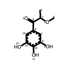 COC(C)C(=O)c1cc(O)c(O)c(O)c1